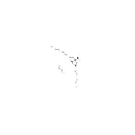 COCCOCCOCCC(CCOCCOCCOC)(C(=O)O)C(=O)O.NCCN